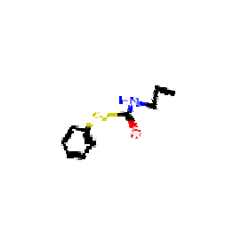 C=CCNC(=O)Sc1ccccc1